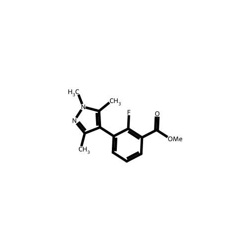 COC(=O)c1cccc(-c2c(C)nn(C)c2C)c1F